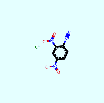 N#[N+]c1ccc([N+](=O)[O-])cc1[N+](=O)[O-].[Cl-]